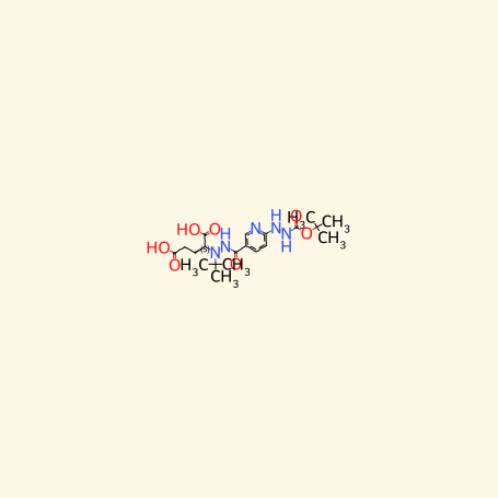 CC(C)(C)OC(=O)NNc1ccc(C(=O)NN([C@@H](CCC(=O)O)C(=O)O)C(C)(C)C)cn1